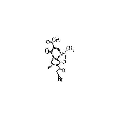 CC1COc2c(C(=O)CBr)c(F)cc3c(=O)c(C(=O)O)cn1c23